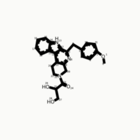 COc1ccc(Cc2nc3c(c4c2[nH]c2ccccc24)CCN(C(=O)C(O)CO)C3)cc1